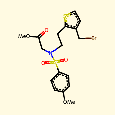 COC(=O)CN(CCc1sccc1CBr)S(=O)(=O)c1ccc(OC)cc1